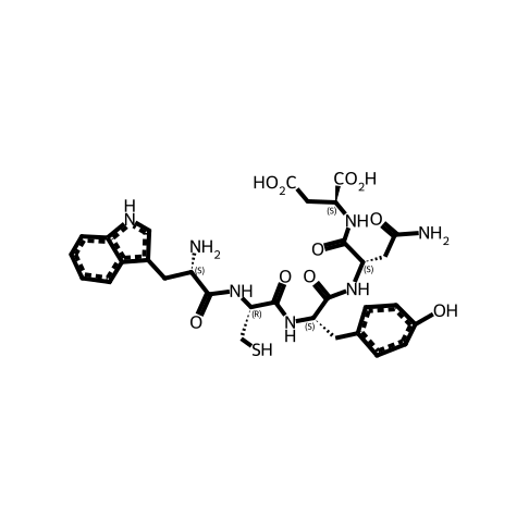 NC(=O)C[C@H](NC(=O)[C@H](Cc1ccc(O)cc1)NC(=O)[C@H](CS)NC(=O)[C@@H](N)Cc1c[nH]c2ccccc12)C(=O)N[C@@H](CC(=O)O)C(=O)O